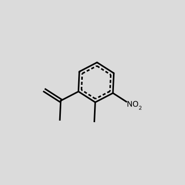 C=C(C)c1cccc([N+](=O)[O-])c1C